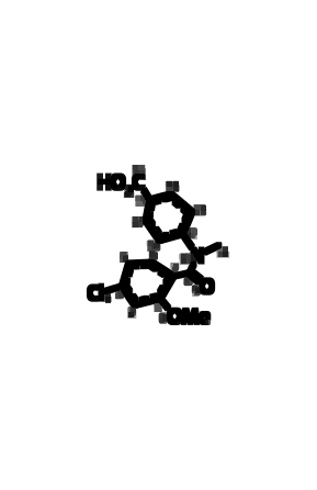 COc1cc(Cl)ccc1C(=O)N(C)c1ccc(C(=O)O)cc1